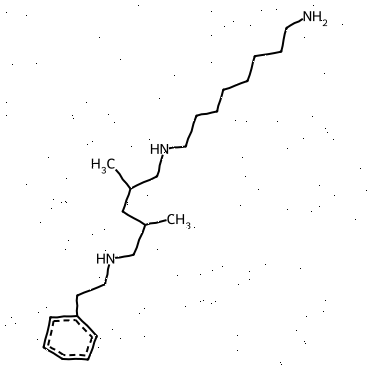 CC(CNCCCCCCCCN)CC(C)CNCCc1ccccc1